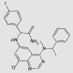 C=C(N)C(Nc1cc(Cl)c2ncnc(N(C)C(C)c3ccccc3)c2c1)c1ccc(F)cc1